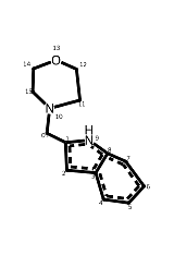 [CH](c1cc2ccccc2[nH]1)N1CCOCC1